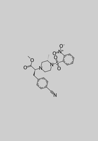 COC(=O)[C@H](Cc1ccc(C#N)cc1)N1CCN(S(=O)(=O)c2ccccc2[N+](=O)[O-])[C@@H](C)C1